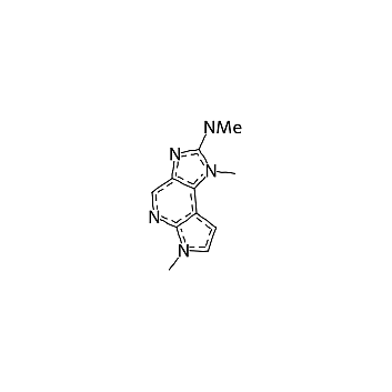 CNc1nc2cnc3c(ccn3C)c2n1C